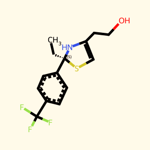 CC[C@]1(c2ccc(C(F)(F)F)cc2)NC(CCO)=CS1